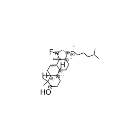 CC(C)CCC[C@@H](C)[C@H]1C[C@H](F)[C@@]2(C)C3=CC[C@H]4C(C)(C)[C@@H](O)CC[C@]4(C)[C@H]3CC[C@]12C